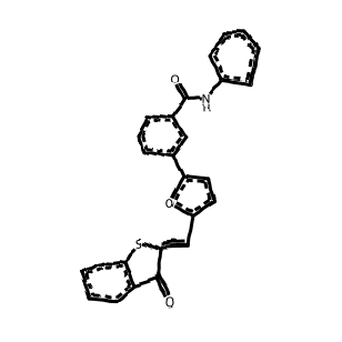 O=C(Nc1ccccc1)c1cccc(-c2ccc(C=C3Sc4ccccc4C3=O)o2)c1